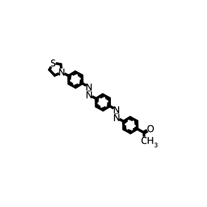 CC(=O)c1ccc(N=Nc2ccc(N=Nc3ccc(N4CCSC4)cc3)cc2)cc1